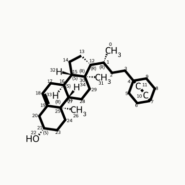 C[C@H](CCC12CCC(CC1)CC2)[C@H]1CC[C@H]2[C@@H]3CC=C4C[C@@H](O)CC[C@]4(C)[C@H]3CC[C@]12C